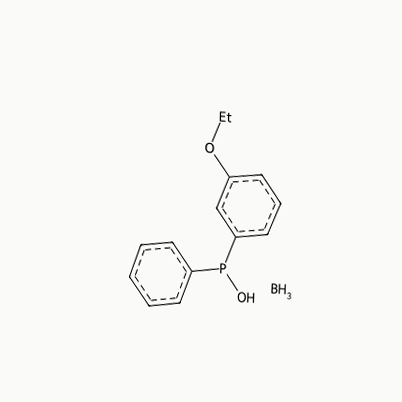 B.CCOc1cccc(P(O)c2ccccc2)c1